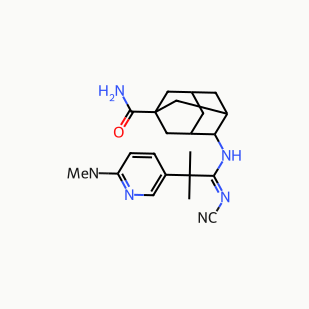 CNc1ccc(C(C)(C)/C(=N\C#N)NC2C3CC4CC2CC(C(N)=O)(C4)C3)cn1